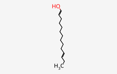 CCC=CCCCCCCCC/C=C/O